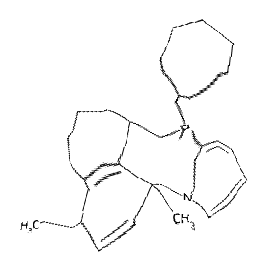 CC1C=CC2(C)C3=C1CCCC3P(C1CCCCC1)c1cccn12